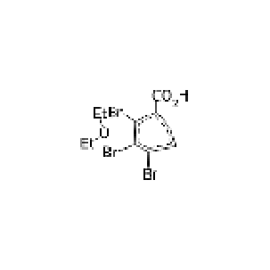 CCOCC.O=C(O)c1ccc(Br)c(Br)c1Br